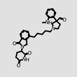 CNc1ccccc1C1(C=O)CCN(CCCCCc2cccc3c2CN(C2CCC(=O)NC2=O)C3=O)C1